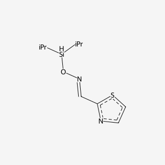 CC(C)[SiH](ON=Cc1nccs1)C(C)C